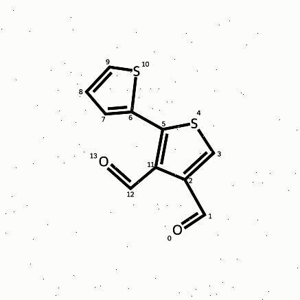 O=Cc1csc(-c2cccs2)c1C=O